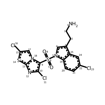 NCCc1cn(S(=O)(=O)c2c(Cl)nc3sc(Cl)cn23)c2ccc(Cl)cc12